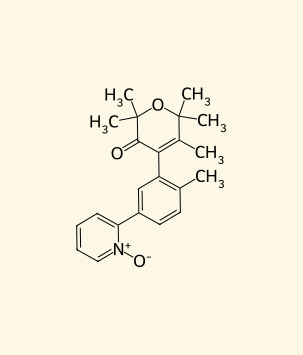 CC1=C(c2cc(-c3cccc[n+]3[O-])ccc2C)C(=O)C(C)(C)OC1(C)C